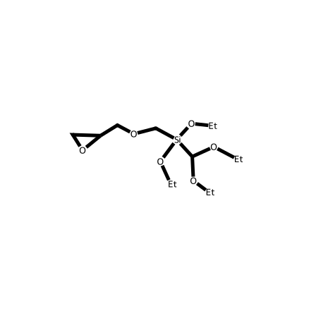 CCOC(OCC)[Si](COCC1CO1)(OCC)OCC